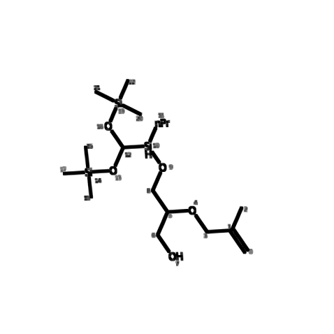 C=C(C)COC(CO)CO[SiH](CCC)C(O[Si](C)(C)C)O[Si](C)(C)C